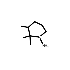 CC1CCCN(N)C1(C)C